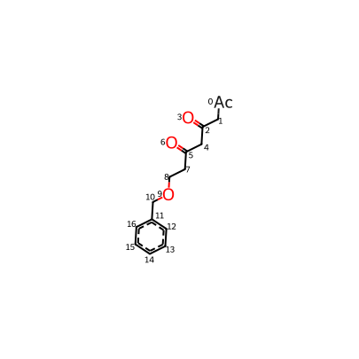 CC(=O)CC(=O)CC(=O)CCOCc1ccccc1